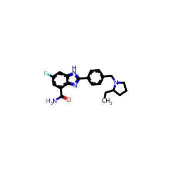 CCC1CCCN1Cc1ccc(-c2nc3c(C(N)=O)cc(F)cc3[nH]2)cc1